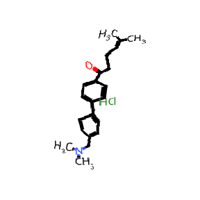 CC(C)=CCCC(=O)c1ccc(-c2ccc(CN(C)C)cc2)cc1.Cl